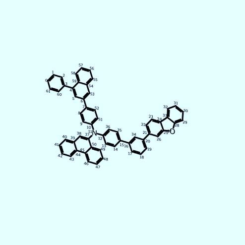 c1ccc(-c2cc(-c3ccc(N(c4ccc(-c5cccc(-c6ccc7c(c6)oc6ccccc67)c5)cc4)c4cc5ccccc5c5ccccc45)cc3)cc3ccccc23)cc1